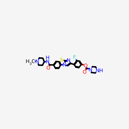 CN1CCC(NC(=O)c2ccc3c(c2)sc2nc(-c4ccc(OC(=O)N5CCNCC5)cc4F)cn23)CC1